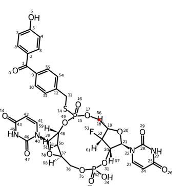 O=C(c1ccc(O)cc1)c1ccc(CSP2(=O)OC[C@H]3O[C@@H](n4ccc(=O)[nH]c4=O)[C@H](OP(=O)(O)OC[C@H]4O[C@@H](n5ccc(=O)[nH]c5=O)[C@H](O2)[C@@H]4F)[C@@H]3F)cc1